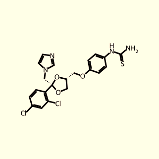 NC(=S)Nc1ccc(OC[C@@H]2CO[C@@](Cn3ccnc3)(c3ccc(Cl)cc3Cl)O2)cc1